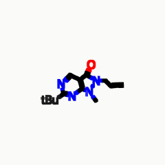 C=CCn1c(=O)c2cnc(C(C)(C)C)nc2n1C